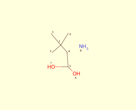 CC(C)(C)CC(O)O.N